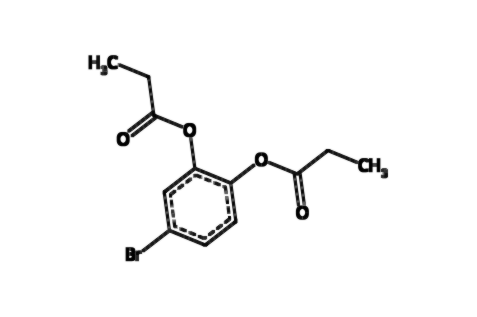 CCC(=O)Oc1ccc(Br)cc1OC(=O)CC